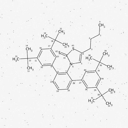 CCCCc1cn(-c2c(-c3cc(C(C)(C)C)cc(C(C)(C)C)c3)cccc2-c2cc(C(C)(C)C)cc(C(C)(C)C)c2)c(=S)s1